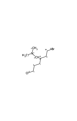 CN(C)C.ClCCCCCCBr